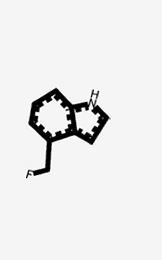 FCc1cccc2[nH][c]cc12